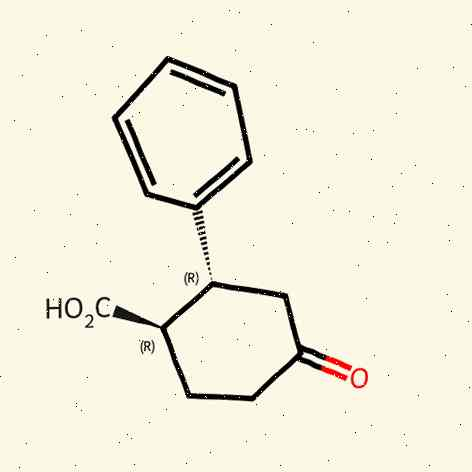 O=C1CC[C@@H](C(=O)O)[C@H](c2ccccc2)C1